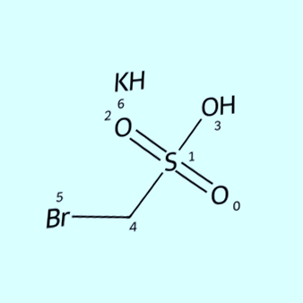 O=S(=O)(O)CBr.[KH]